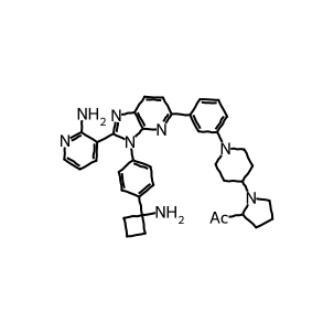 CC(=O)C1CCCN1C1CCN(c2cccc(-c3ccc4nc(-c5cccnc5N)n(-c5ccc(C6(N)CCC6)cc5)c4n3)c2)CC1